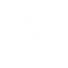 O=C(c1occc1Br)N1CCC2CCNC2C1